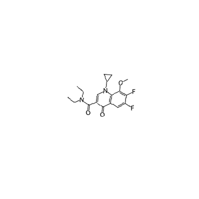 CCN(CC)C(=O)c1cn(C2CC2)c2c(OC)c(F)c(F)cc2c1=O